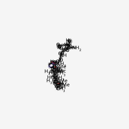 COC(=O)CC1=C2/C(=C\CSSC(C)(C)CCC(=O)CCCNC(=O)OCc3ccc(NC(=O)[C@H](CCCCN)CC(=O)[C@H](Cc4ccccc4)NC(=O)CCCCCN4C(=O)C=CC4=O)cc3)[C@](O)(C#C/C=C\C#C[C@@H]2OC2OC(C)C(NOC3CC(O)C(SC(=O)c4c(C)c(I)c(OC5OC(C)C(O)C(OC)C5O)c(C)c4OC)C(C)O3)C(O)C2OC2CC(C)C(CC(C)=O)CO2)CC1=O